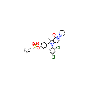 Cc1c(-c2ccc(OS(=O)(=O)CCC(F)(F)F)cc2)n(-c2ccc(Cl)cc2Cl)c2ccn(N3CCCCC3)c(=O)c12